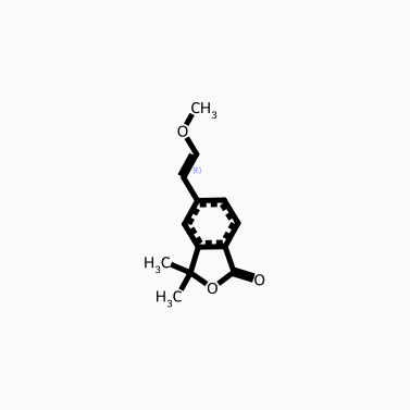 CO/C=C/c1ccc2c(c1)C(C)(C)OC2=O